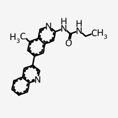 CCNC(=O)Nc1cc2cc(-c3cnc4ccccc4c3)cc(C)c2cn1